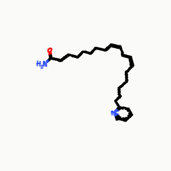 NC(=O)CCCCCCC/C=C\C/C=C\CCCCCc1ccccn1